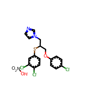 Clc1ccc(OCC(Cn2ccnc2)Sc2ccc(Cl)c(Cl)c2)cc1.O=[N+]([O-])O